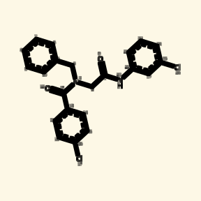 O=C(CN(Cc1ccccc1)C(=O)c1ccc(Cl)cc1)Nc1cccc(Cl)c1